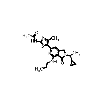 CCCNc1nc(-c2sc(NC(C)=O)nc2C)cc2c1C(=O)N([C@@H](C)C1CC1)C2